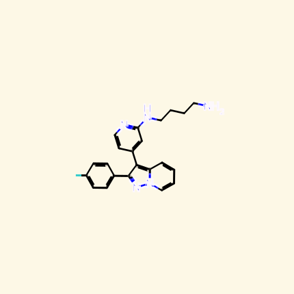 NCCCCNc1cc(-c2c(-c3ccc(F)cc3)nn3ccccc23)ccn1